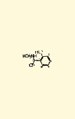 Cl.ONC(Cl)c1ccccc1